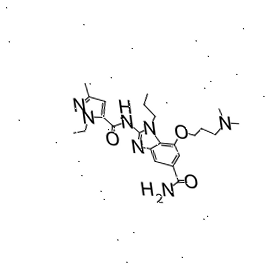 CCCn1c(NC(=O)c2cc(C)nn2CC)nc2cc(C(N)=O)cc(OCCCN(C)C)c21